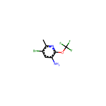 Cc1nc(OC(F)(F)F)c(N)cc1Br